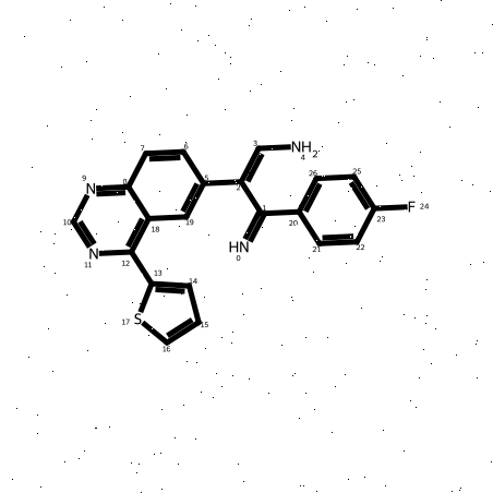 N=C(/C(=C\N)c1ccc2ncnc(-c3cccs3)c2c1)c1ccc(F)cc1